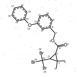 CC1(C)C(C(=O)OCc2cccc(Oc3ccccc3)c2)C1C(Br)(Br)Br